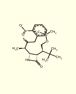 C[C@@H](C(=S)Cc1ccccc1[N+](=O)[O-])[C@H]1NC(=O)[C@H]1[C@@H](CO[SiH](C)C)C(C)(C)C